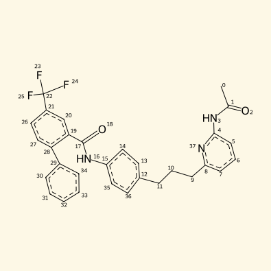 CC(=O)Nc1cccc(CCCc2ccc(NC(=O)c3cc(C(F)(F)F)ccc3-c3ccccc3)cc2)n1